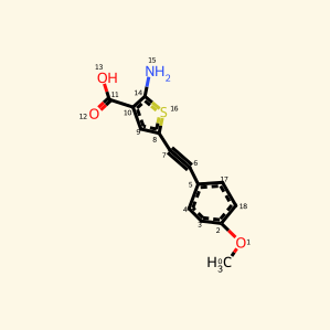 COc1ccc(C#Cc2cc(C(=O)O)c(N)s2)cc1